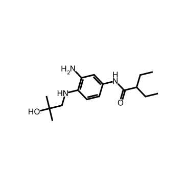 CCC(CC)C(=O)Nc1ccc(NCC(C)(C)O)c(N)c1